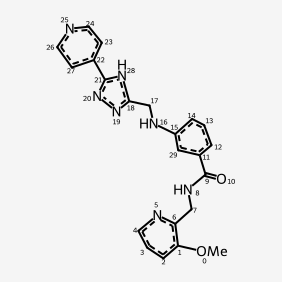 COc1cccnc1CNC(=O)c1cccc(NCc2nnc(-c3ccncc3)[nH]2)c1